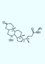 CC(C)NC(=O)CC[C@@H](C)[C@H]1CCC2C3C(CC[C@@]21C)[C@@]1(C)CCC(=O)CC1C[C@H]3O